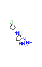 Cc1ccc(NCc2ccc(Cl)cc2)c(C)c1N=C1NCCN1